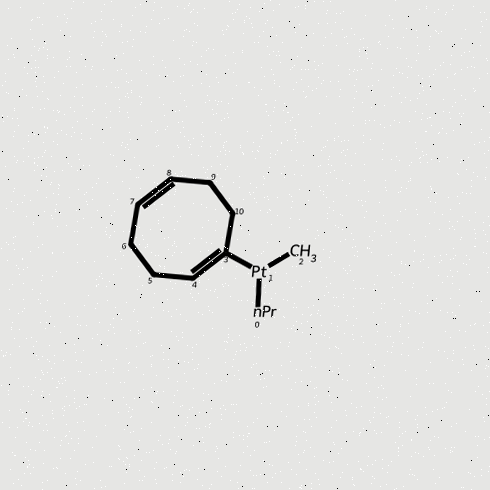 CC[CH2][Pt]([CH3])[C]1=CCCC=CCC1